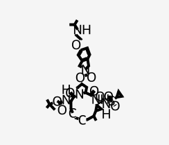 CC(C)NCCOc1ccc2c(c1)CN(C(=O)O[C@@H]1CC3C(=O)N[C@]4(C(=O)NS(=O)(=O)C5CC5)CC4C(C)CCCCC[C@H](NC(=O)OC(C)(C)C)C(=O)N3C1)C2